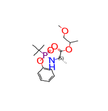 COCC(C)OC(=O)[C@H](C)NP(=O)(Oc1ccccc1)C(C)(C)C